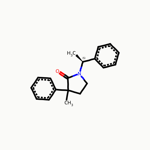 C[C@@H](c1ccccc1)N1CCC(C)(c2ccccc2)C1=O